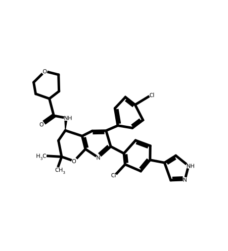 CC1(C)C[C@@H](NC(=O)C2CCOCC2)c2cc(-c3ccc(Cl)cc3)c(-c3ccc(-c4cn[nH]c4)cc3Cl)nc2O1